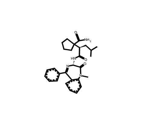 CC(C)C[C@@H](C(=O)N[C@H]1N=C(c2ccccc2)c2ccccc2N(C)C1=O)C1(C(N)=O)CCCC1